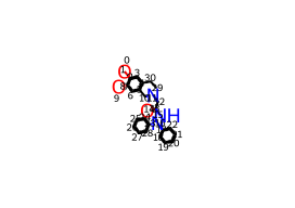 COc1cc2c(cc1OC)CN(CC(=O)NN(c1ccccc1)c1ccccc1)CC2